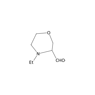 CCN1CCOCC1[C]=O